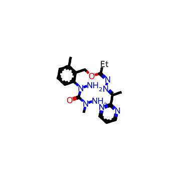 CCC(=NN=C(C)c1ncccn1)OCc1c(C)cccc1N(N)C(=O)N(C)N